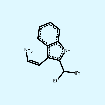 CCC(c1[nH]c2ccccc2c1/C=C\N)C(C)C